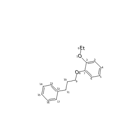 CCOc1ccccc1OCCCc1ccccc1